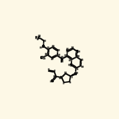 C=CC(=O)N1CC[C@H](Oc2ccc3ncnc(Nc4ccc(OCC(F)(F)F)c(Cl)c4)c3n2)C1